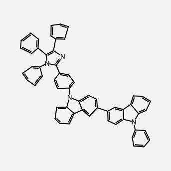 c1ccc(-c2nc(-c3ccc(-n4c5ccccc5c5cc(-c6ccc7c(c6)c6ccccc6n7-c6ccccc6)ccc54)cc3)n(-c3ccccc3)c2-c2ccccc2)cc1